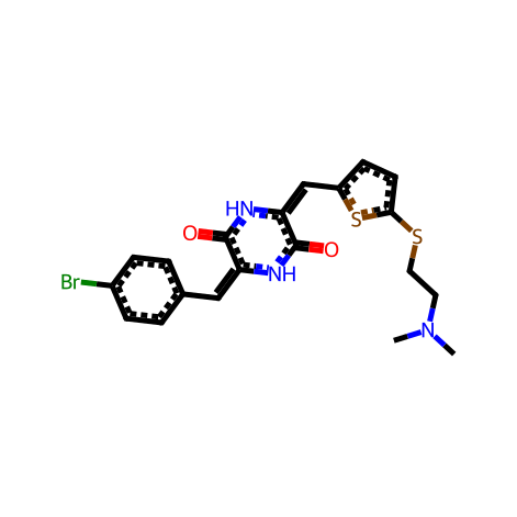 CN(C)CCSc1ccc(C=c2[nH]c(=O)c(=Cc3ccc(Br)cc3)[nH]c2=O)s1